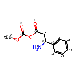 CC(C)(C)OC(=O)OC(=O)C[C@H](N)c1ccccc1